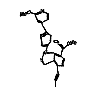 CC#Cc1ccc(C(=O)OC)c2c1cnn2-c1ccc(-c2ccnc(OC)c2)cc1